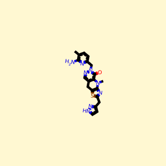 Cc1ccc(Cn2ncc3c(c2=O)N(C)c2nc(Cc4cc[nH]n4)sc2C3)nc1N